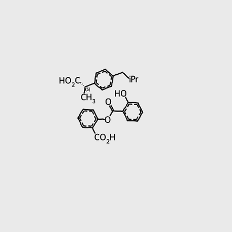 CC(C)Cc1ccc([C@H](C)C(=O)O)cc1.O=C(Oc1ccccc1C(=O)O)c1ccccc1O